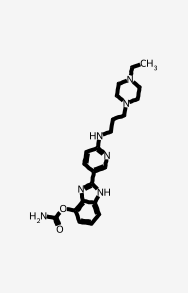 CCN1CCN(CCCNc2ccc(-c3nc4c(OC(N)=O)cccc4[nH]3)cn2)CC1